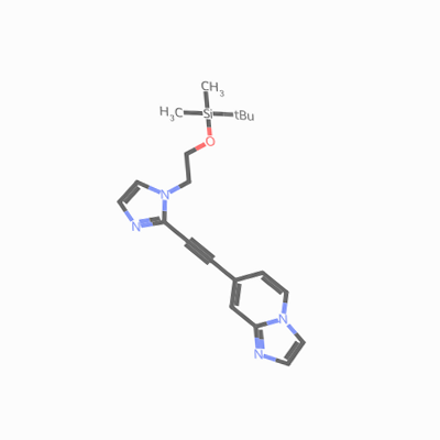 CC(C)(C)[Si](C)(C)OCCn1ccnc1C#Cc1ccn2ccnc2c1